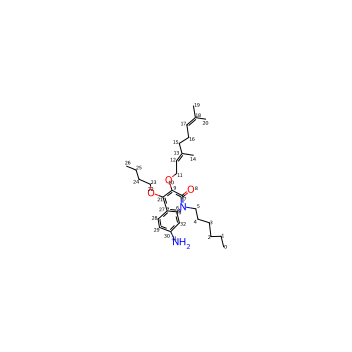 CCCCCCn1c(=O)c(OC/C=C(\C)CCC=C(C)C)c(OCCCC)c2ccc(N)cc21